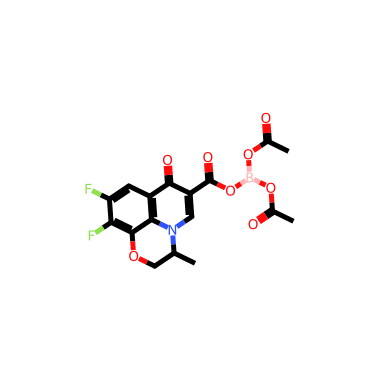 CC(=O)OB(OC(C)=O)OC(=O)c1cn2c3c(c(F)c(F)cc3c1=O)OCC2C